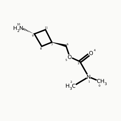 CN(C)C(=O)OC[C@H]1C[C@H](N)C1